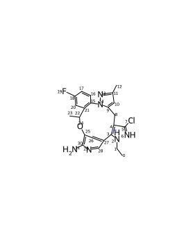 CCN/C1=C(\C(=N)Cl)Cc2cc(C)nn2-c2ccc(F)cc2C(C)Oc2cc1cnc2N